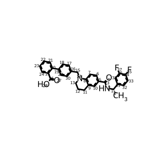 C[C@H](NC(=O)c1ccc2c(c1)CCCN2Cc1ccc(-c2ccccc2C(=O)O)cc1)c1ccc(F)c(F)c1